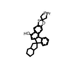 CC(C)CC1(CC(C)C)Oc2cc3c4c(cc(O)c3cc2S1)C1(CC2CCCCC2C1)c1ccccc1-4